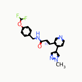 Cn1cc(-c2ccncc2/C=C/C(=O)NCc2ccc(OC(F)F)cc2)cn1